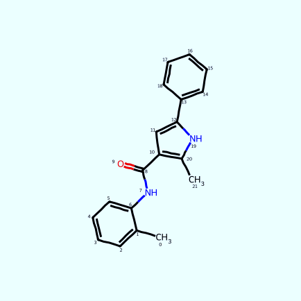 Cc1ccccc1NC(=O)c1cc(-c2ccccc2)[nH]c1C